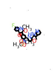 CNC(=O)c1c(-c2ccc(F)cc2)oc2cc(N(C)S(C)(=O)=O)c(-c3ccc4c(n3)-c3[nH]c5ncccc5c3CO4)cc12